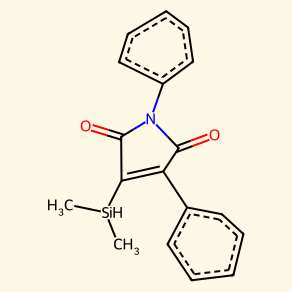 C[SiH](C)C1=C(c2ccccc2)C(=O)N(c2ccccc2)C1=O